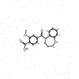 COc1cc(C(=O)N2CCCOc3ccccc32)ccc1C(=O)O